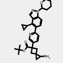 CC(C)(C)OC(=O)C1(c2ccc(-c3ccc4c(cnn4C4CCCCO4)c3C3CC3)nc2)CC2(CC2N)C1